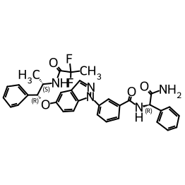 C[C@H](NC(=O)C(C)(F)F)[C@H](Oc1ccc2c(cnn2-c2cccc(C(=O)N[C@@H](C(N)=O)c3ccccc3)c2)c1)c1ccccc1